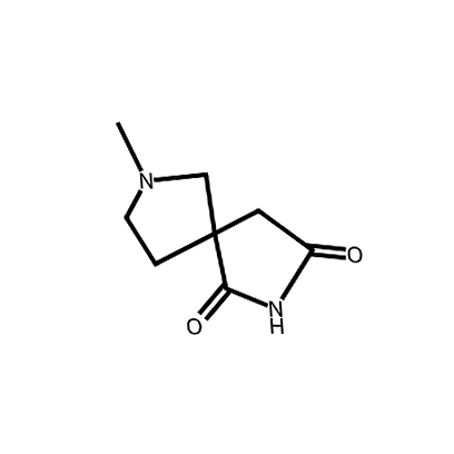 CN1CCC2(CC(=O)NC2=O)C1